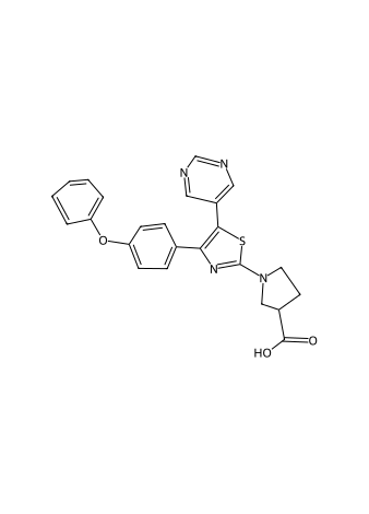 O=C(O)C1CCN(c2nc(-c3ccc(Oc4ccccc4)cc3)c(-c3cncnc3)s2)C1